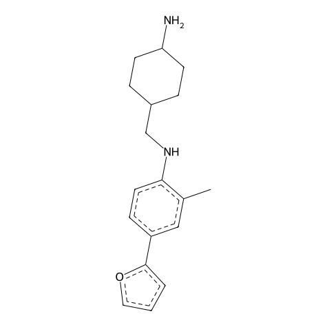 Cc1cc(-c2ccco2)ccc1NCC1CCC(N)CC1